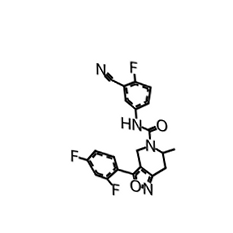 CC1Cc2noc(-c3ccc(F)cc3F)c2CN1C(=O)Nc1ccc(F)c(C#N)c1